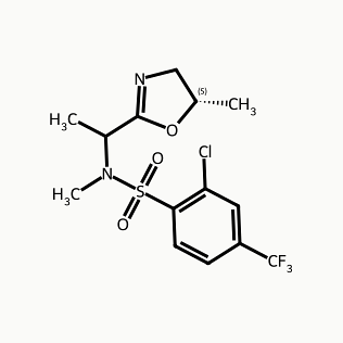 CC(C1=NC[C@H](C)O1)N(C)S(=O)(=O)c1ccc(C(F)(F)F)cc1Cl